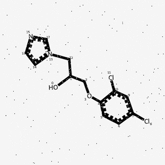 OC(COc1ccc(Cl)cc1Cl)Cn1ccnc1